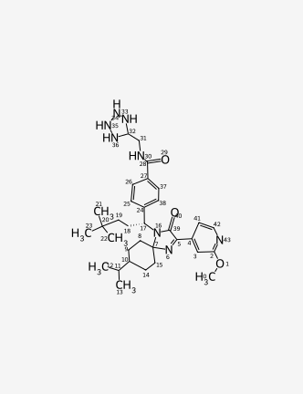 COc1cc(C2=NC3(CCC(C(C)C)CC3)N([C@H](CCC(C)(C)C)c3ccc(C(=O)NCC4NNNN4)cc3)C2=O)ccn1